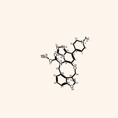 CC(=O)N1CC=C(c2cc3c(n4cnnc24)N(C(=O)OC(C)(C)C)Cc2cccc4c2[C@H](CO4)CO3)CC1